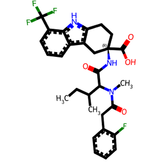 CCC(C)C(C(=O)N[C@]1(C(=O)O)CCc2[nH]c3c(C(F)(F)F)cccc3c2C1)N(C)C(=O)Cc1ccccc1F